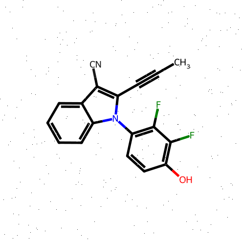 CC#Cc1c(C#N)c2ccccc2n1-c1ccc(O)c(F)c1F